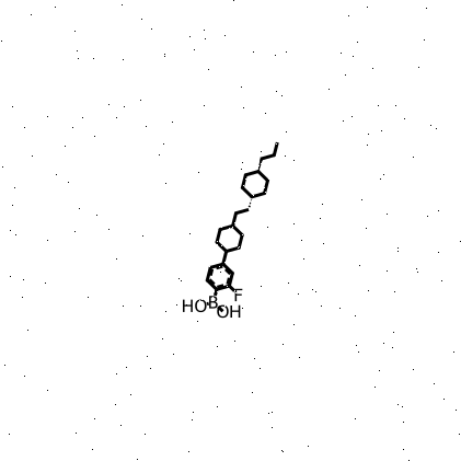 CCC[C@H]1CC[C@H](CCC2CCC(c3ccc(B(O)O)c(F)c3)CC2)CC1